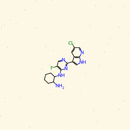 NC1CCCCC1Nc1nc(-c2c[nH]c3ncc(Cl)cc23)ncc1F